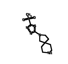 CS(=O)(=O)c1nnc(N2CCC3(CCNCC3)C2)s1